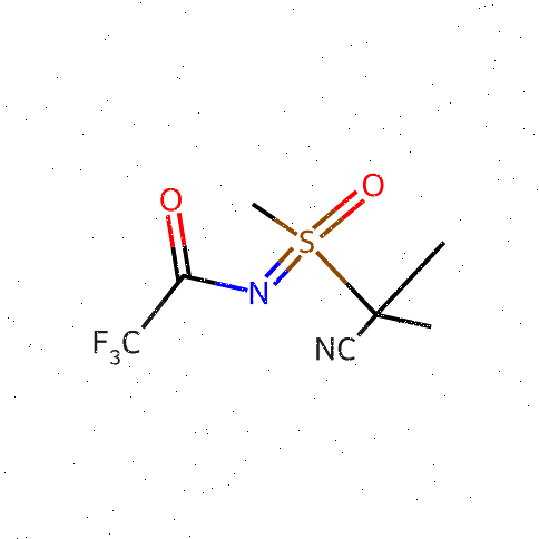 CC(C)(C#N)S(C)(=O)=NC(=O)C(F)(F)F